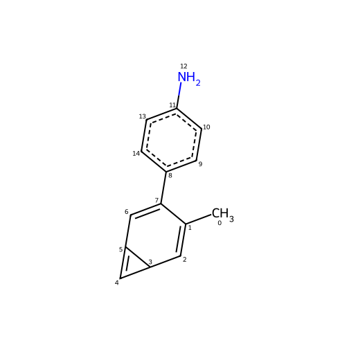 CC1=CC2C=C2C=C1c1ccc(N)cc1